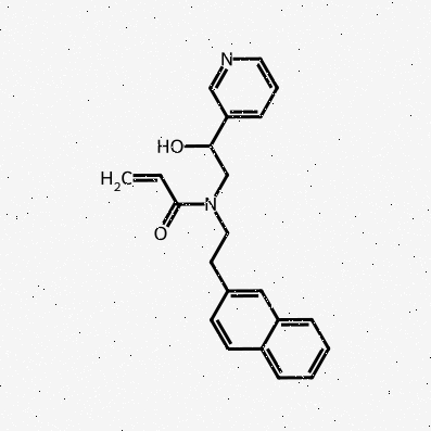 C=CC(=O)N(CCc1ccc2ccccc2c1)CC(O)c1cccnc1